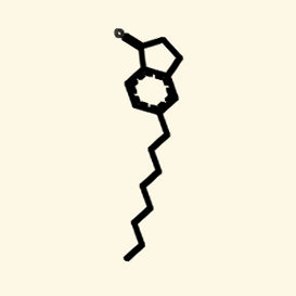 CCCCCCCCc1ccc2c(c1)CCC2=O